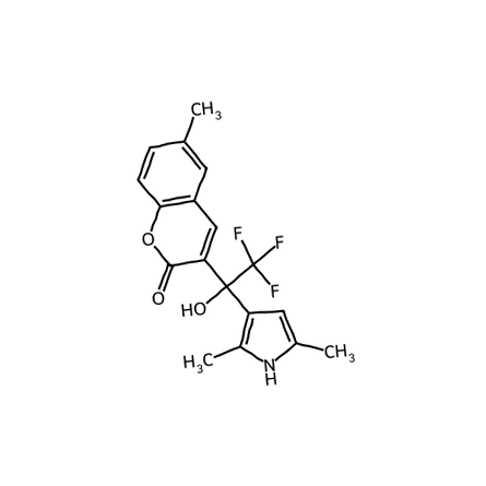 Cc1ccc2oc(=O)c(C(O)(c3cc(C)[nH]c3C)C(F)(F)F)cc2c1